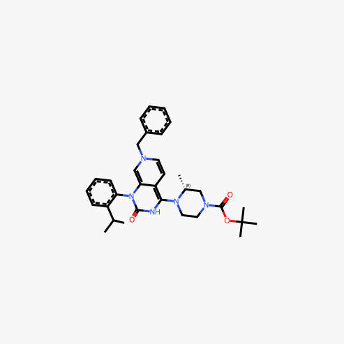 CC(C)c1ccccc1N1C(=O)NC(N2CCN(C(=O)OC(C)(C)C)C[C@H]2C)=C2C=CN(Cc3ccccc3)C=C21